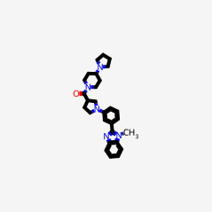 Cn1c(-c2cccc(N3CCC(C(=O)N4CCC(N5CCCC5)CC4)C3)c2)nc2ccccc21